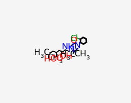 CC(C)CC(CC(O)C(N)CN1CC(=O)N(c2ccccc2Cl)CC1(C)C)C(=O)O